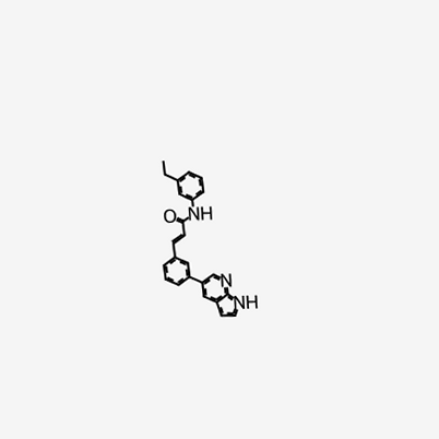 CCc1cccc(NC(=O)C=Cc2cccc(-c3cnc4[nH]ccc4c3)c2)c1